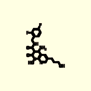 Nc1c(C(=O)NCc2ccc(F)cc2F)c(=O)n(O)c2ncc(CCCO)cc12